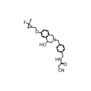 N#CCC(=O)NCc1ccc(CN2Cc3ccc(OCC4CC4(F)F)cc3C(O)C2)cc1